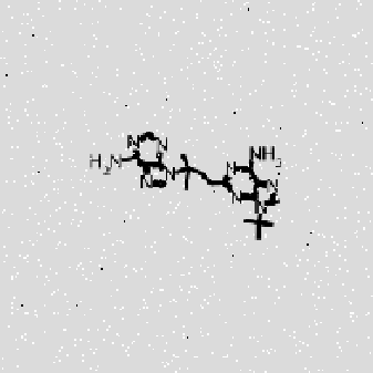 CC(C)(C)n1cnc2c(N)nc(CCC(C)(C)n3cnc4c(N)ncnc43)nc21